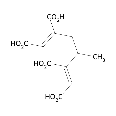 CC(C/C(=C/C(=O)O)C(=O)O)/C(=C/C(=O)O)C(=O)O